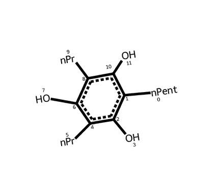 CCCCCc1c(O)c(CCC)c(O)c(CCC)c1O